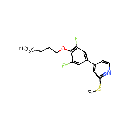 CC(C)Sc1cc(-c2cc(F)c(OCCCC(=O)O)c(F)c2)ccn1